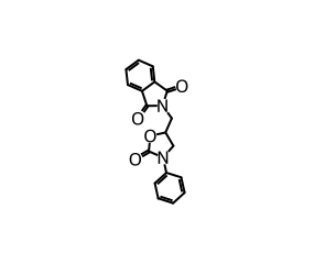 O=C1c2ccccc2C(=O)N1CC1CN(c2ccccc2)C(=O)O1